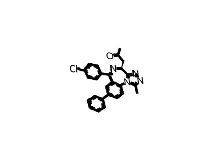 CC(=O)C[C@@H]1N=C(c2ccc(Cl)cc2)c2cc(-c3ccccc3)ccc2-n2c(C)nnc21